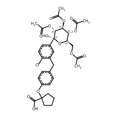 CC(=O)OC[C@H]1O[C@@](O)(c2ccc(Cl)c(Cc3ccc(OC4(C(=O)O)CCCC4)cc3)c2)[C@H](OC(C)=O)[C@@H](OC(C)=O)[C@@H]1OC(C)=O